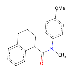 COc1ccc(N(C)C(=O)C2CCCc3ccccc32)cc1